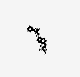 Cc1sc(-c2ccccc2)nc1COc1ccc2cc(CC3SC(=O)NC3=O)cnc2c1